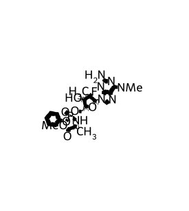 CNc1nc(N)nc2c1ncn2[C@@H]1O[C@H](COP(=O)(N[C@H](C)C(=O)OC)Oc2ccccc2)[C@@H](O)[C@@]1(C)F